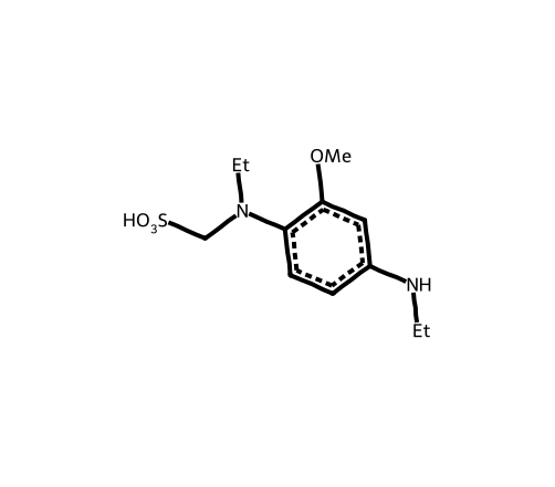 CCNc1ccc(N(CC)CS(=O)(=O)O)c(OC)c1